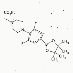 CCOC(=O)CN1CCN(c2c(F)cc(B3OC(C)(C)C(C)(C)O3)cc2F)CC1